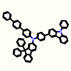 c1ccc(-c2ccc(-c3ccc(N(c4ccc(-c5ccc6c(c5)c5ccccc5n6-c5ccccc5)cc4)c4ccc5c(c4)C(c4ccccc4)(c4ccccc4)c4ccccc4-5)cc3)cc2)cc1